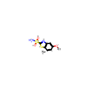 CCOc1ccc2sc(S(N)(=O)=O)nc2c1.[Na]